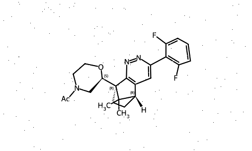 CC(=O)N1CCO[C@@H]([C@@]23CC[C@@H](c4cc(-c5c(F)cccc5F)nnc42)C3(C)C)C1